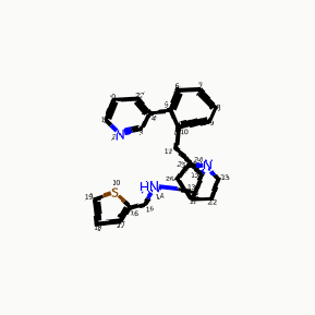 c1cncc(-c2ccccc2CC2C(NCc3cccs3)C3CCN2CC3)c1